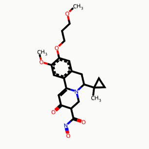 COCCCOc1cc2c(cc1OC)C1=CC(=O)C(C(=O)N=O)CN1C(C1(C)CC1)C2